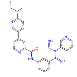 CCC(C)c1ccc(-c2ccnc(C(=O)Nc3cccc(C(=N)N(C=N)c4cccnc4)c3)c2)cn1